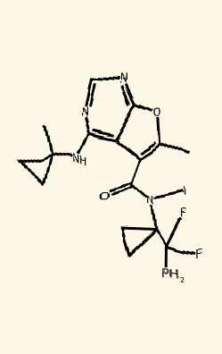 Cc1oc2ncnc(NC3(C)CC3)c2c1C(=O)N(I)C1(C(F)(F)P)CC1